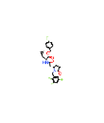 O=C(C[C@@H]1CCC(=O)N1Cc1cc(F)cc(F)c1F)N[C@@H](CC1CC1)C(=O)OCc1ccc(F)cc1